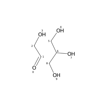 O=CCO.OCC(O)CO